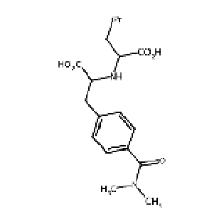 CC(C)CC(NC(Cc1ccc(C(=O)N(C)C)cc1)C(=O)O)C(=O)O